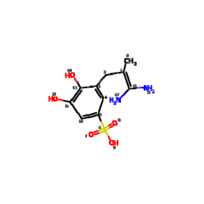 CC(Cc1cc(S(=O)(=O)O)cc(O)c1O)=C(N)N